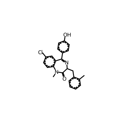 Cc1ccccc1CC1N=C(c2ccc(O)cc2)c2cc(Cl)ccc2N(C)C1=O